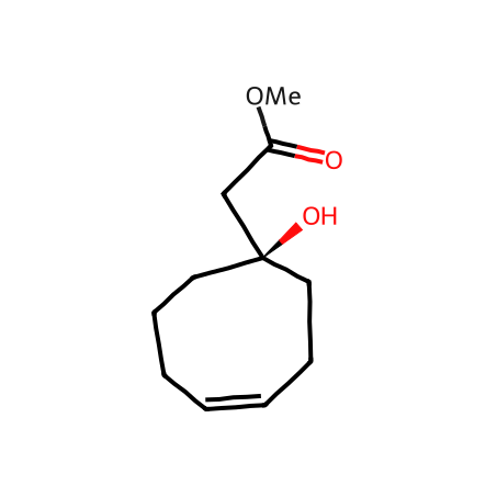 COC(=O)C[C@]1(O)CC/C=C\CCC1